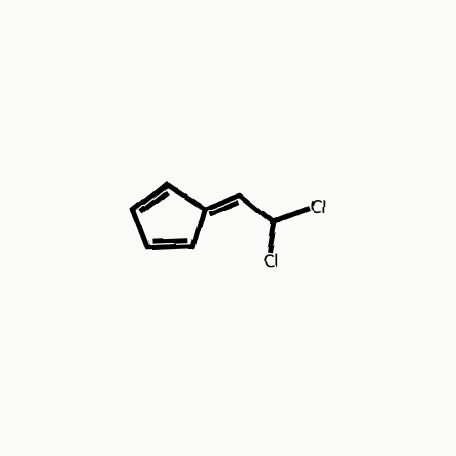 Cl[C](Cl)C=C1C=CC=C1